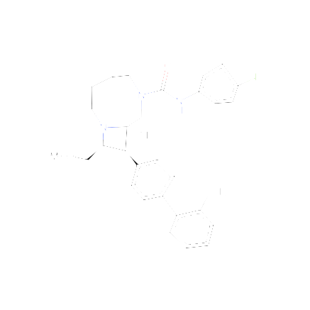 COC[C@@H]1[C@H](c2ccc(-c3ccccc3C)cc2)[C@@H]2CN(C(=O)Nc3ccc(F)cc3)CCCCN12